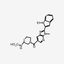 CCn1c(-c2nc3cc(C(=O)N4CCCC(NC(=O)O)C4)cnc3n2C)cc2ccccc21